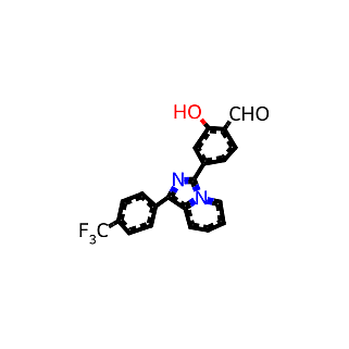 O=Cc1ccc(-c2nc(-c3ccc(C(F)(F)F)cc3)c3ccccn23)cc1O